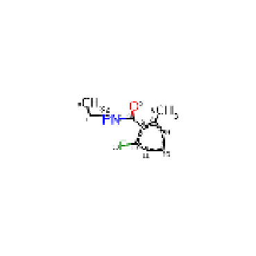 CCCNC(=O)c1c(C)cccc1F